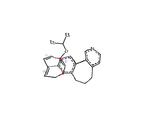 CCC(CC)OC1=C/CC/C=C(c2ccc3c(c2)CCCc2ccncc2-3)/C=C\1